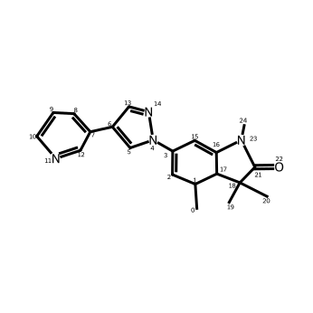 CC1C=C(n2cc(-c3cccnc3)cn2)C=C2C1C(C)(C)C(=O)N2C